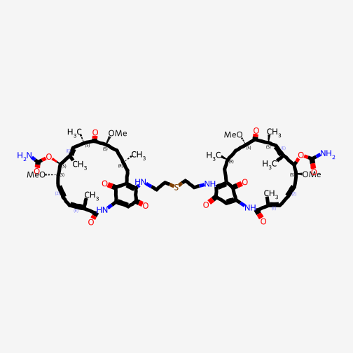 CO[C@H]1C[C@H](C)CC2=C(NCCSCCNC3=C4C[C@@H](C)C[C@H](OC)C(=O)[C@@H](C)/C=C(\C)[C@H](OC(N)=O)[C@@H](OC)/C=C\C=C(/C)C(=O)NC(=CC3=O)C4=O)C(=O)C=C(NC(=O)/C(C)=C/C=C\[C@H](OC)C(OC(N)=O)/C(C)=C/[C@H](C)C1=O)C2=O